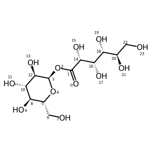 O=C(O[C@H]1O[C@H](CO)[C@@H](O)[C@H](O)[C@H]1O)[C@H](O)[C@@H](O)[C@H](O)[C@H](O)CO